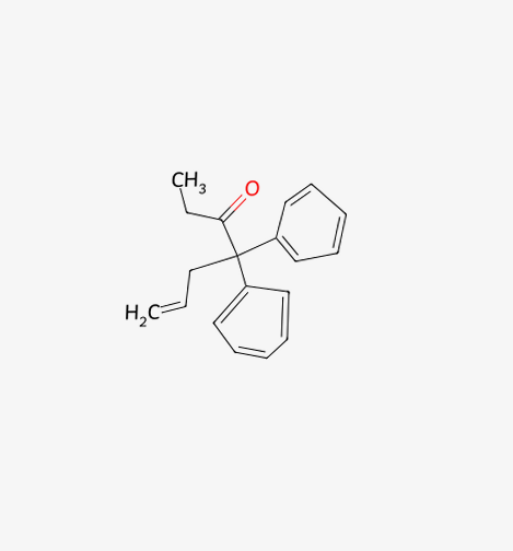 C=CCC(C(=O)CC)(c1ccccc1)c1ccccc1